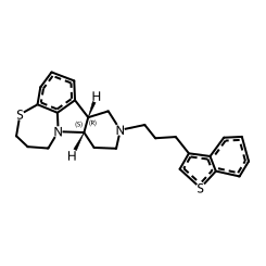 c1cc2c3c(c1)[C@@H]1CN(CCCc4csc5ccccc45)CC[C@@H]1N3CCCS2